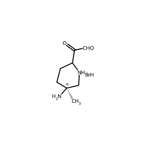 Br.C[C@]1(N)CCC(C(=O)C=O)NC1